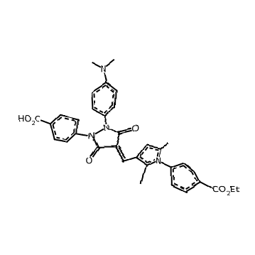 CCOC(=O)c1ccc(-n2c(C)cc(C=C3C(=O)N(c4ccc(C(=O)O)cc4)N(c4ccc(N(C)C)cc4)C3=O)c2C)cc1